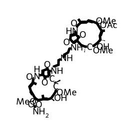 CO[C@H]1/C=C\C=C(/C)C(=O)NC2=CC(=O)C(NCCCNCCCNC3=C4C[C@@H](C)C[C@H](OC)[C@H](O)[C@@H](C)/C=C(\C)[C@H](OC(N)=O)[C@@H](OC)/C=C\C=C(/C)C(=O)NC(=CC3=O)C4=O)=C(C[C@@H](C)C[C@H](OC)[C@H](O)[C@@H](C)/C=C(\C)[C@@H]1OC(C)=O)C2=O